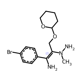 CN(N)/C(COC1CCCCO1)=C(\N)c1ccc(Br)cc1